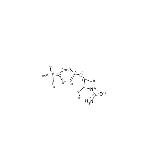 CCC1C(Oc2ccc(C(F)(F)F)cc2)CN1C(N)=O